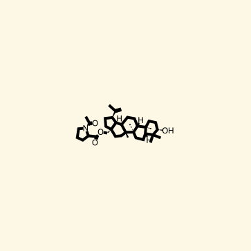 C=C(C)[C@@H]1CC[C@]2(COC(=O)C3CCCN3C(C)=O)CC[C@]3(C)C(CC[C@@H]4[C@@]5(C)CC[C@H](O)C(C)(C)[C@@H]5CC[C@]43C)[C@@H]12